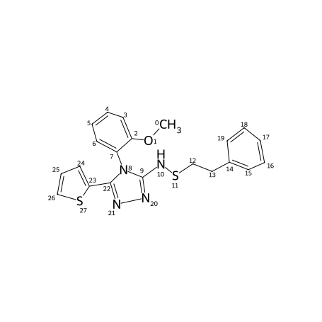 COc1ccccc1-n1c(NSCCc2ccccc2)nnc1-c1cccs1